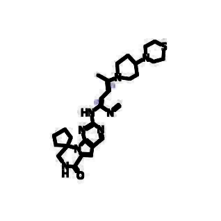 C=N/C(=C\C=C(/C)N1CCC(N2CCSCC2)CC1)Nc1ncc2cc3n(c2n1)C1(CCCC1)CNC3=O